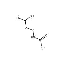 CCC(O)CCNC(=O)C(F)(F)F